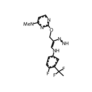 CNc1ccnc(OC/C(=C/Nc2ccc(F)c(C(C)(F)F)c2)N=N)n1